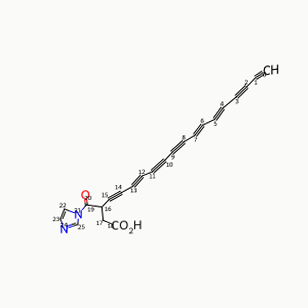 C#CC#CC#CC#CC#CC#CC#CC#CC(CC(=O)O)C(=O)n1ccnc1